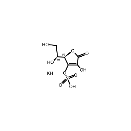 O=C1O[C@H]([C@@H](O)CO)C(OS(=O)(=O)O)=C1O.[KH]